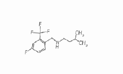 CC(C)CCNCc1ccc(F)cc1C(F)(F)F